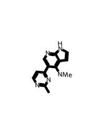 CNc1c(-c2ccnc(C)n2)cnc2[nH]ccc12